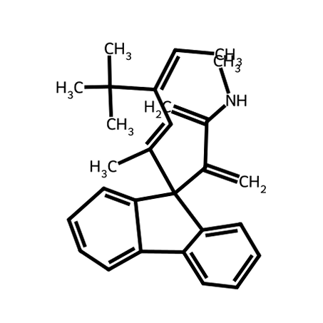 C=C(NC)C(=C)C1(/C(C)=C/C(=C\C)C(C)(C)C)c2ccccc2-c2ccccc21